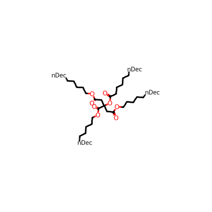 CCCCCCCCCCCCCCCOC(=O)CC(CC(=O)OCCCCCCCCCCCCCCC)(OC(=O)CCCCCCCCCCCCCCC)C(=O)OCCCCCCCCCCCCCCC